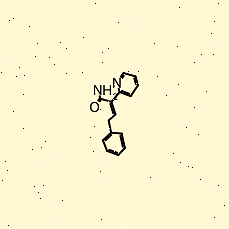 NC(=O)C(=CCc1ccccc1)c1ccccn1